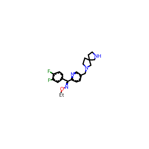 CCON=C(c1ccc(F)c(F)c1)c1ccc(CN2CCC3(CCNC3)C2)cn1